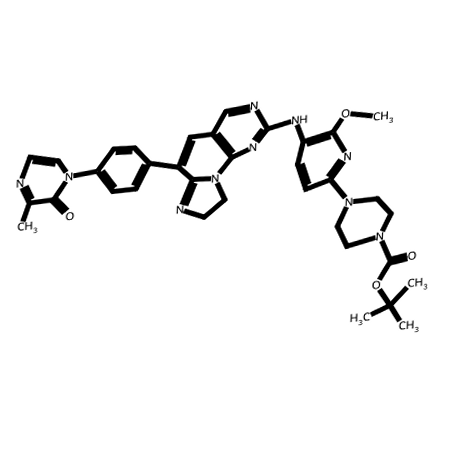 COc1nc(N2CCN(C(=O)OC(C)(C)C)CC2)ccc1Nc1ncc2c(n1)N1CCN=C1C(c1ccc(-n3ccnc(C)c3=O)cc1)=C2